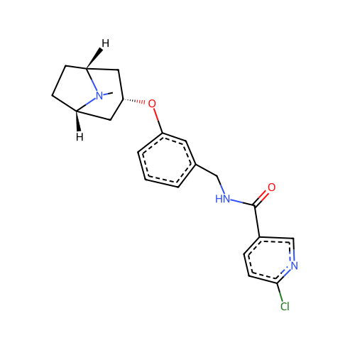 CN1[C@@H]2CC[C@H]1C[C@@H](Oc1cccc(CNC(=O)c3ccc(Cl)nc3)c1)C2